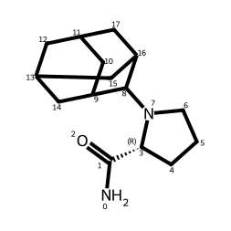 NC(=O)[C@H]1CCCN1C1C2CC3CC(C2)CC1C3